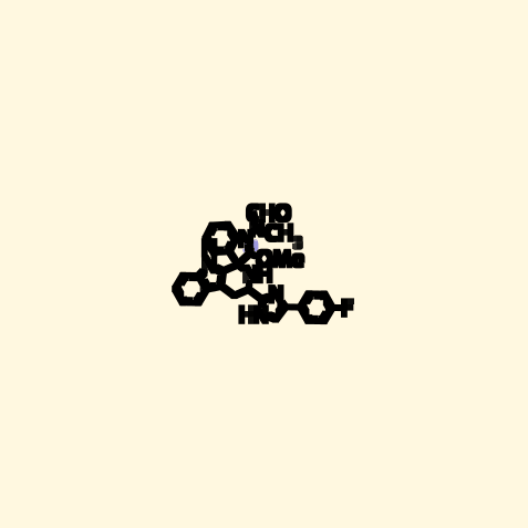 CO/C(=N\N(C)C=O)C1(c2ccccc2)NC(c2nc(-c3ccc(F)cc3)c[nH]2)Cc2c1[nH]c1ccccc21